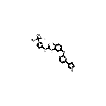 CC(C)(C)n1ccc(NC(=O)Nc2cc(Oc3nccc(-c4cn[nH]c4)n3)ccc2F)n1